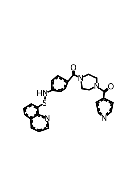 O=C(c1ccncc1)N1CCN(C(=O)c2ccc(NSc3cccc4cccnc34)cc2)CC1